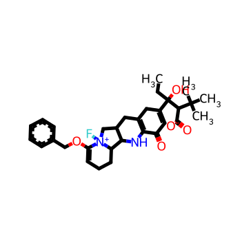 CCC(O)(C1=CC(=O)C2=C(C1)CC1C[N+]3(F)C(OCc4ccccc4)=CCCC3C1N2)C(C(=O)[O-])C(C)(C)C